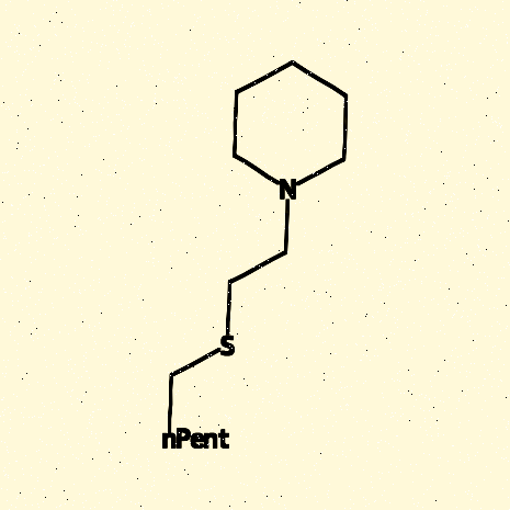 CCCCCCSCCN1CCCCC1